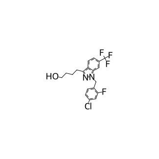 OCCCCc1nn(Cc2ccc(Cl)cc2F)c2cc(C(F)(F)F)ccc12